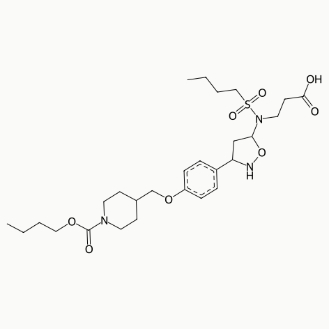 CCCCOC(=O)N1CCC(COc2ccc(C3CC(N(CCC(=O)O)S(=O)(=O)CCCC)ON3)cc2)CC1